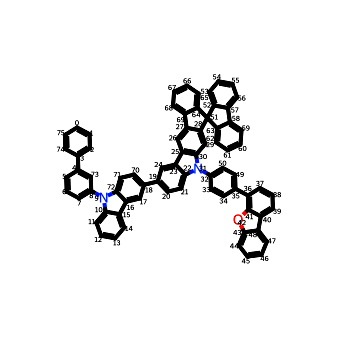 c1ccc(-c2cccc(-n3c4ccccc4c4cc(-c5ccc6c(c5)c5cc7c(cc5n6-c5ccc(-c6cccc8c6oc6ccccc68)cc5)C5(c6ccccc6-c6ccccc65)c5ccccc5-7)ccc43)c2)cc1